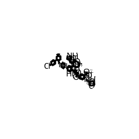 C[C@H]1CCN(c2cc(N3CCN(CC4=C(c5ccc(Cl)cc5)CC(C)(C)CC4)CC3)ccc2C(=O)NS(=O)(=O)c2ccc(NC[C@H]3COCCO3)c([N+](=O)[O-])c2)c2cc3cc[nH]c3nc2O1